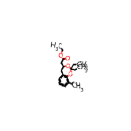 CCOC(=O)CC1Cc2cccc(C)c2OC(CC)(CC)O1